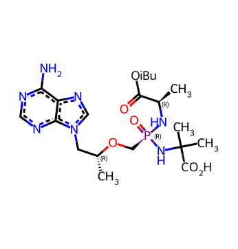 CC(C)COC(=O)[C@@H](C)N[P@](=O)(CO[C@H](C)Cn1cnc2c(N)ncnc21)NC(C)(C)C(=O)O